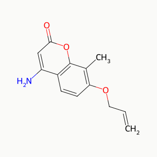 C=CCOc1ccc2c(N)cc(=O)oc2c1C